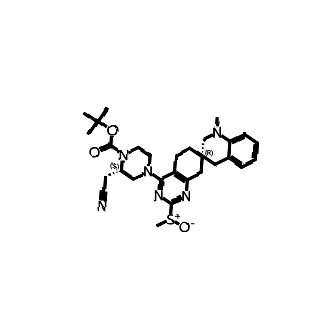 CN1C[C@]2(CCc3c(nc([S+](C)[O-])nc3N3CCN(C(=O)OC(C)(C)C)[C@@H](CC#N)C3)C2)Cc2ccccc21